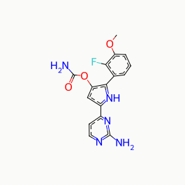 COc1cccc(-c2[nH]c(-c3ccnc(N)n3)cc2OC(N)=O)c1F